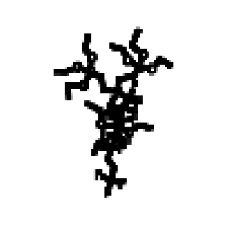 CCO[Si](CC[Si](CC[Si](OCC)(OCC)OCC)(CC[Si](OCC)(OCC)OCC)C(F)(F)C(F)(F)C(F)(F)C(F)(F)C(F)(F)CCC(F)(F)F)(OCC)OCC